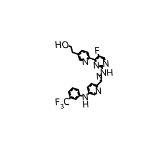 OCCc1ccc(-c2nc(N/N=C/c3ccc(Nc4cccc(C(F)(F)F)c4)cn3)ncc2F)nc1